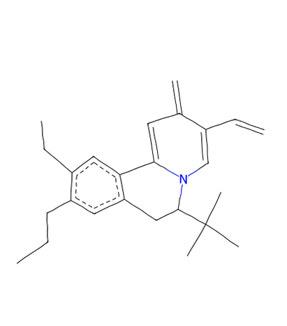 C=CC1=CN2C(=CC1=C)c1cc(CC)c(CCC)cc1CC2C(C)(C)C